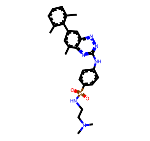 Cc1cccc(C)c1-c1cc(C)c2nc(Nc3ccc(S(=O)(=O)NCCN(C)C)cc3)nnc2c1